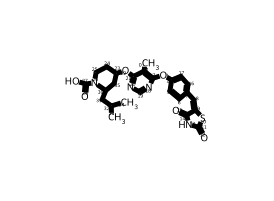 Cc1c(Oc2ccc(C=C3SC(=O)NC3=O)cc2)ncnc1OC1CCN(C(=O)O)C(CC(C)C)C1